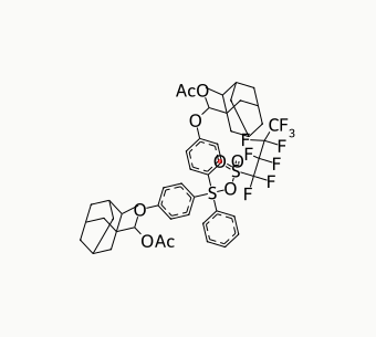 CC(=O)OC(Oc1ccc(S(OS(=O)(=O)C(F)(F)C(F)(F)C(F)(F)C(F)(F)F)(c2ccccc2)c2ccc(OC(OC(C)=O)C34CC5CC(CC(C5)C3C)C4)cc2)cc1)C12CC3CC(CC(C3)C1C)C2